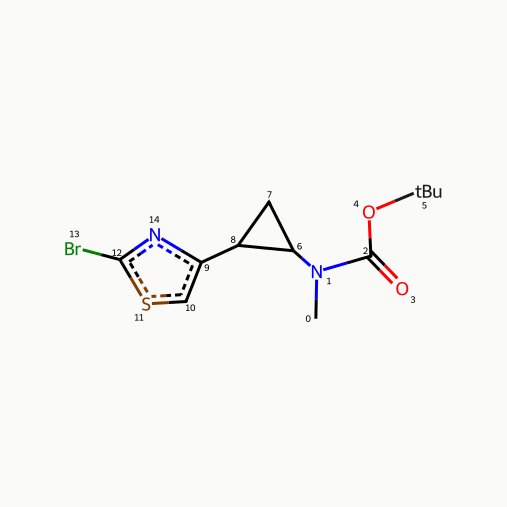 CN(C(=O)OC(C)(C)C)C1CC1c1csc(Br)n1